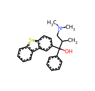 CC(CN(C)C)C(O)(c1ccccc1)c1ccc2sc3ccccc3c2c1